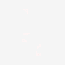 COc1ccc(C(O)(CC(=O)C(C)C(=O)O)C(F)(F)F)cc1